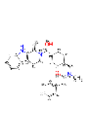 CC(C)C1c2[nH]c3ccccc3c2CCN1C(O)[C@H]1CC[C@H](CN(C)C(=O)Cc2ccccc2)CC1